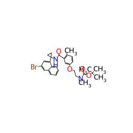 Cc1ccc(OCCN(C)C(=O)OC(C)(C)C)cc1C(=O)NC1(c2cc(Br)cc3ccccc23)CC1